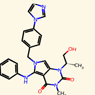 C[C@@H](CO)n1c(=O)n(C)c(=O)c2c(Nc3ccccc3)n(Cc3ccc(-n4ccnc4)cc3)cc21